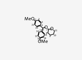 COc1ccc(C(OC2CCCCO2)c2ccc(OC)cc2)cc1